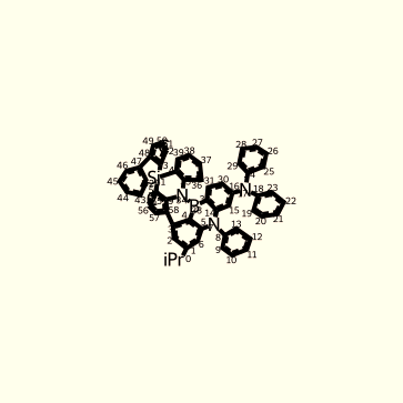 CC(C)c1cc2c3c(c1)N(c1ccccc1)c1cc(N(c4ccccc4)c4ccccc4)ccc1B3N1c3ccccc3[Si]3(c4ccccc4-c4ccccc43)c3cccc-2c31